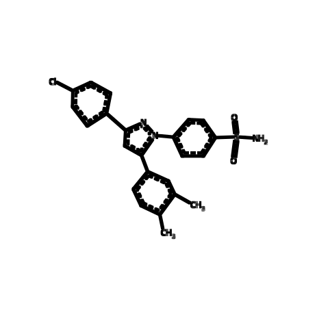 Cc1ccc(-c2cc(-c3ccc(Cl)cc3)nn2-c2ccc(S(N)(=O)=O)cc2)cc1C